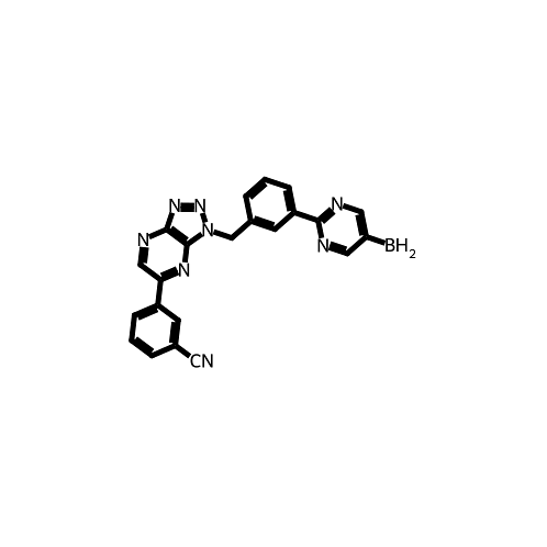 Bc1cnc(-c2cccc(Cn3nnc4ncc(-c5cccc(C#N)c5)nc43)c2)nc1